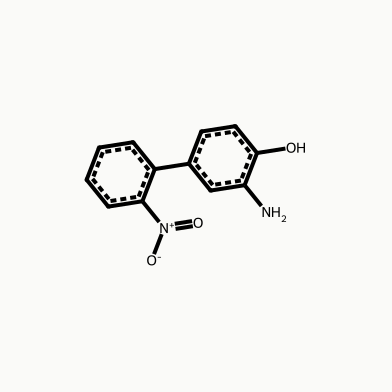 Nc1cc(-c2ccccc2[N+](=O)[O-])ccc1O